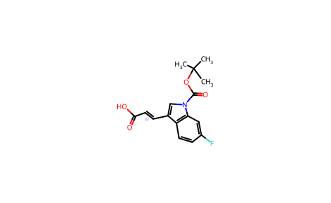 CC(C)(C)OC(=O)n1cc(/C=C/C(=O)O)c2ccc(F)cc21